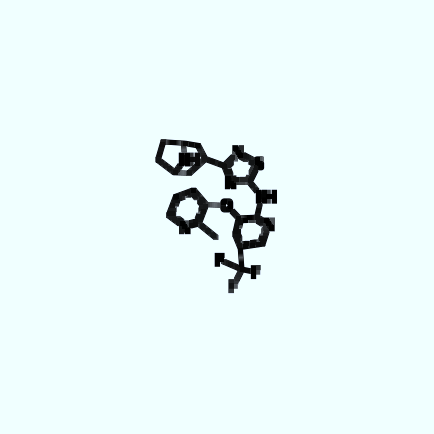 Cc1ncccc1Oc1cc(C(F)(F)F)cnc1Nc1nc(C2CC3CCC(C2)N3)ns1